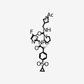 CC(=O)N1CC(CNC(=O)N2CC[C@H](C[C@@H](C(=O)Nc3ncc(F)s3)c3ccc(S(=O)(=O)C4CC4)cc3)C2)C1